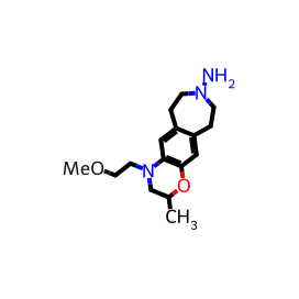 COCCN1CC(C)Oc2cc3c(cc21)CCN(N)CC3